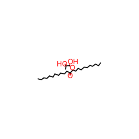 CC(O)C(=O)O.CCCCCCCCCCCC(=O)CCCCCCCCCCC